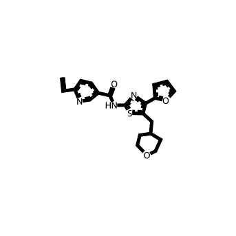 C=Cc1ccc(C(=O)Nc2nc(-c3ccco3)c(CC3CCOCC3)s2)cn1